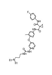 CCN(CC)CCCNC(=O)Nc1cc(Oc2ccc(NC(=O)C3(C(=O)Nc4ccc(F)cc4)CC3)cc2C)ccn1